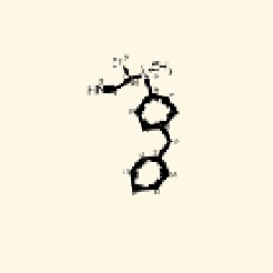 CC[C@H](C=N)N(C)c1ccc(Cc2ccccc2)cc1